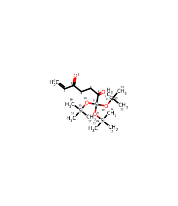 C=CC(=O)CCC(=O)[Si](O[Si](C)(C)C)(O[Si](C)(C)C)O[Si](C)(C)C